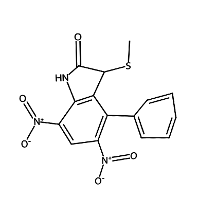 CSC1C(=O)Nc2c([N+](=O)[O-])cc([N+](=O)[O-])c(-c3ccccc3)c21